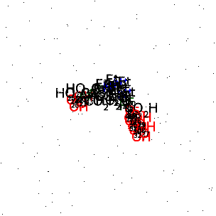 CC[N+](CC)(CC)CC.CC[N+](CC)(CC)CC.CC[N+](CC)(CC)CC.O=C(O)C(=O)O.O=C(O)C(=O)O.O=C(O)C(=O)O.O=C(O)C(F)(F)C(=O)O.O=C(O)C(F)(F)C(=O)O.O=C(O)C(F)(F)C(=O)O.[O-]B([O-])[O-]